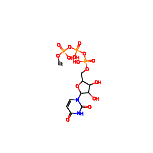 CCOP(=O)(O)OP(=O)(O)OP(=O)(O)OCC1OC(n2ccc(=O)[nH]c2=O)C(O)C1O